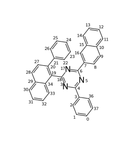 c1ccc(-c2nc(-c3ccc4ccccc4c3)nc(-c3c(-c4ccccc4)ccc4ccccc34)n2)cc1